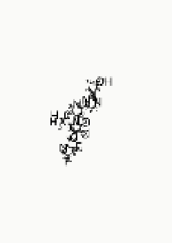 Cc1cnc(-c2ccnc(N3CCC(O)C3)n2)cc1-n1c(C)cc(OCc2ncc(F)cc2F)c(Cl)c1=O